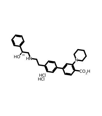 Cl.Cl.O=C(O)c1ccc(-c2ccc(CCNC[C@@H](O)c3ccccc3)cc2)cc1N1CCCCC1